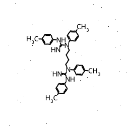 Cc1ccc(NC(=N)N(CCCCN(C(=N)Nc2ccc(C)cc2)c2ccc(C)cc2)c2ccc(C)cc2)cc1